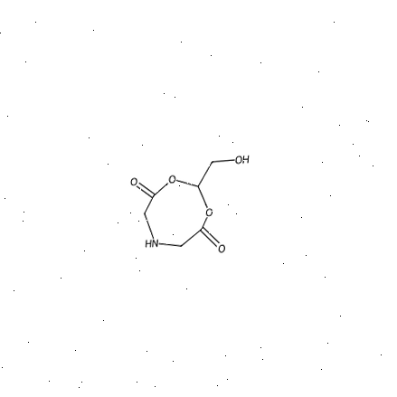 O=C1CNCC(=O)OC(CO)O1